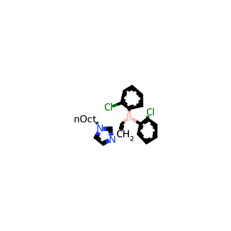 C=CB(c1ccccc1Cl)c1ccccc1Cl.CCCCCCCCn1ccnc1